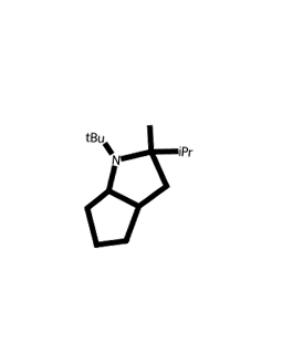 CC(C)C1(C)CC2CCCC2N1C(C)(C)C